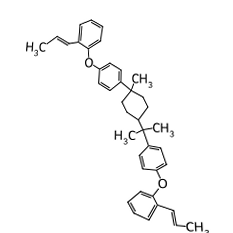 CC=Cc1ccccc1Oc1ccc(C2(C)CCC(C(C)(C)c3ccc(Oc4ccccc4C=CC)cc3)CC2)cc1